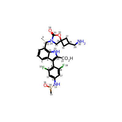 C[C@@H](c1cccc2c(-c3c(F)cc(N[S+](C)[O-])cc3F)c(C(=O)O)[nH]c12)N1CC2(CC(CN)C2)OC1=O